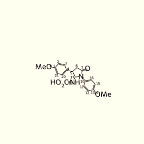 COc1ccc(C2CC(=O)N(c3ccc(OC)cc3)C2NC(=O)O)cc1